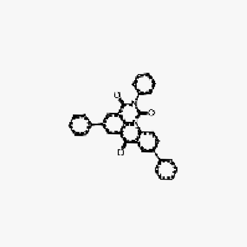 O=c1c2cc(-c3ccccc3)ccc2n2c(=O)n(-c3ccccc3)c(=O)c3cc(-c4ccccc4)cc1c32